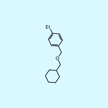 CCc1ccc(COCC2CCCCC2)cc1